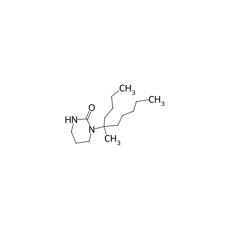 CCCCCC(C)(CCCC)N1CCCNC1=O